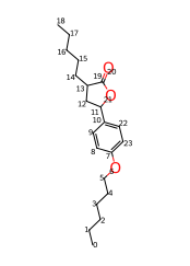 CCCCCCOc1ccc(C2CC(CCCCC)C(=O)O2)cc1